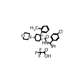 Cc1ccccc1[C@@H]1C[C@@H](N2CCOCC2)CC[C@H]1C(=O)NC(c1ccc(Cl)cc1)C(C)C.O=C(O)C(F)(F)F